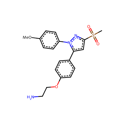 COc1ccc(-n2nc(S(C)(=O)=O)cc2-c2ccc(OCCN)cc2)cc1